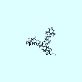 CS(=O)(=O)c1ncc(C(F)(F)COc2ccnc(C(F)(F)F)n2)c(C2CCN(C(=O)Nc3c(F)cccc3F)CC2)n1